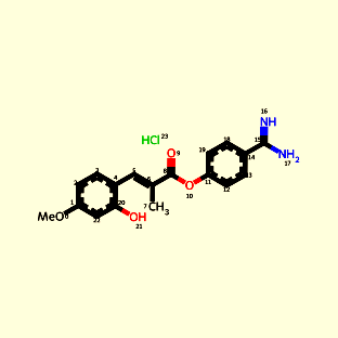 COc1ccc(/C=C(\C)C(=O)Oc2ccc(C(=N)N)cc2)c(O)c1.Cl